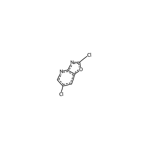 Clc1cnc2nc(Cl)oc2c1